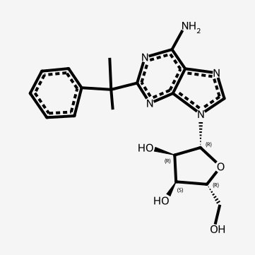 CC(C)(c1ccccc1)c1nc(N)c2ncn([C@@H]3O[C@H](CO)[C@@H](O)[C@H]3O)c2n1